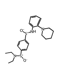 CCN(CC)[S+]([O-])c1ccc([S+]([O-])Nc2ccccc2N2CCCCC2)cc1